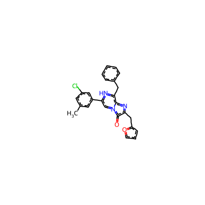 Cc1cc(Cl)cc(-c2cn3c(=O)c(Cc4ccco4)nc-3c(Cc3ccccc3)[nH]2)c1